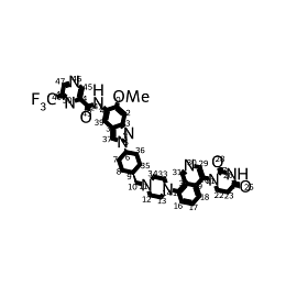 COc1cc2nn([C@H]3CC[C@H](CN4CCN(c5cccc6c(N7CCC(=O)NC7=O)cncc56)CC4)CC3)cc2cc1NC(=O)c1cncc(C(F)(F)F)n1